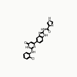 O=C(Nc1nc2cc(-c3cc(=O)[nH]c(Nc4ccccc4Cl)n3)ccc2[nH]1)c1c[nH]cn1